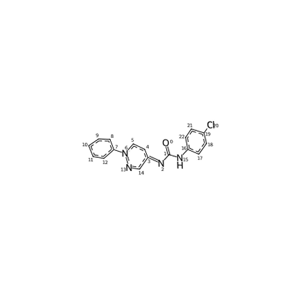 O=C(/N=c1\ccn(-c2ccccc2)nc1)Nc1ccc(Cl)cc1